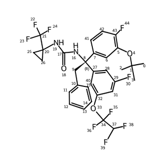 CC(C)(C)Oc1cc([C@@](Cc2ccccc2)(NC(=O)NC2(C(F)(F)F)CC2)c2cc(F)cc(OC(F)(F)C(F)F)c2)ccc1F